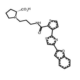 O=C(NCCCN1CCC[C@@H]1C(=O)O)c1sccc1-c1nc(-c2cc3ccccc3o2)cs1